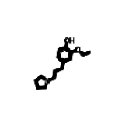 CCOc1cc(CCCN2CCCC2)ccc1O